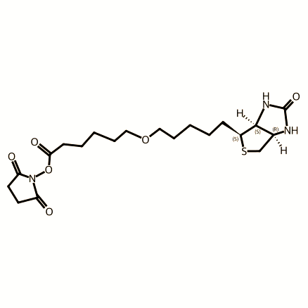 O=C1N[C@H]2[C@H](CS[C@H]2CCCCCOCCCCCC(=O)ON2C(=O)CCC2=O)N1